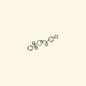 O=C(CN1CCC(S(=O)(=O)c2ccccc2)CC1)c1ccc(Cl)cc1